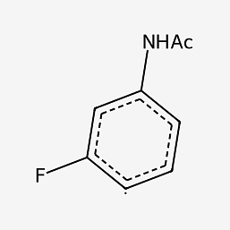 CC(=O)Nc1cc[c]c(F)c1